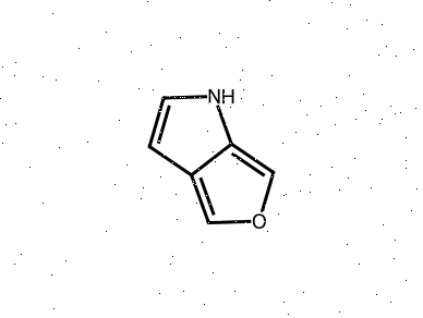 c1cc2cocc2[nH]1